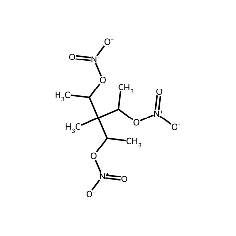 CC(O[N+](=O)[O-])C(C)(C(C)O[N+](=O)[O-])C(C)O[N+](=O)[O-]